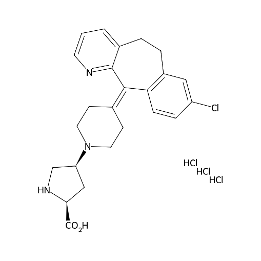 Cl.Cl.Cl.O=C(O)[C@@H]1C[C@H](N2CCC(=C3c4ccc(Cl)cc4CCc4cccnc43)CC2)CN1